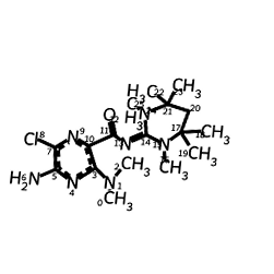 CN(C)c1nc(N)c(Cl)nc1C(=O)N=C1N(C)C(C)(C)CC(C)(C)N1C